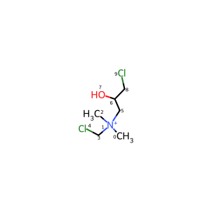 C[N+](C)(CCl)CC(O)CCl